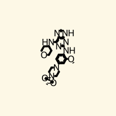 COc1cc(N2CCN(S(C)(=O)=O)CC2)ccc1Nc1nc(NC2CCOCC2)c2nc[nH]c2n1